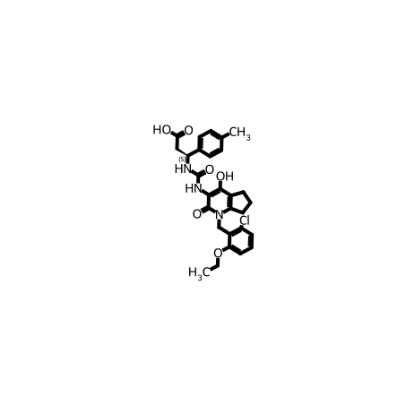 CCOc1cccc(Cl)c1Cn1c2c(c(O)c(NC(=O)N[C@@H](CC(=O)O)c3ccc(C)cc3)c1=O)CCC2